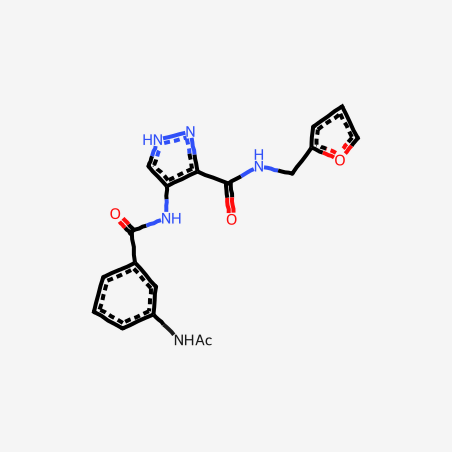 CC(=O)Nc1cccc(C(=O)Nc2c[nH]nc2C(=O)NCc2ccco2)c1